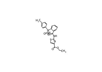 CCOC(=O)c1csc(NC(=O)c2ccccc2N(c2ccc(C)cc2)[SH](=O)=O)n1